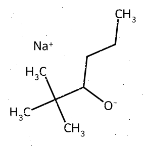 CCCC([O-])C(C)(C)C.[Na+]